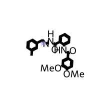 COc1ccc(C(=O)Nc2ccccc2C(=O)N/N=C/c2cccc(C)c2)cc1OC